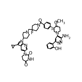 CO[C@H]1CCN(c2cc(-c3ccccc3O)nnc2N)C[C@H]1c1ccc(C(=O)N2CCC(F)(CN3CCC(n4cc(C5CC5)c5cc(N6CCC(=O)NC6=O)cnc54)CC3)CC2)cc1